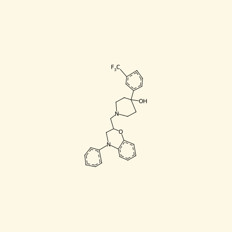 OC1(c2cccc(C(F)(F)F)c2)CCN(CC2CN(c3ccccc3)c3ccccc3O2)CC1